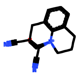 N#CC=C(C#N)[N+]12CCCc3cccc(c31)CCC2